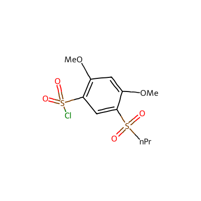 CCCS(=O)(=O)c1cc(S(=O)(=O)Cl)c(OC)cc1OC